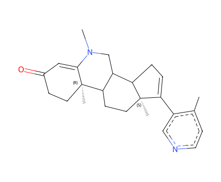 Cc1ccncc1C1=CCC2C3CN(C)C4=CC(=O)CC[C@]4(C)C3CC[C@]12C